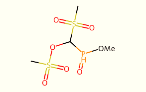 CO[PH](=O)C(OS(C)(=O)=O)S(C)(=O)=O